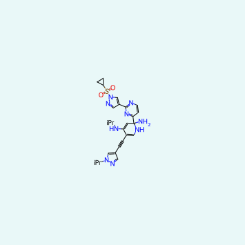 CC(C)NC1=CC(N)(c2ccnc(-c3cnn(S(=O)(=O)C4CC4)c3)n2)NC=C1C#Cc1cnn(C(C)C)c1